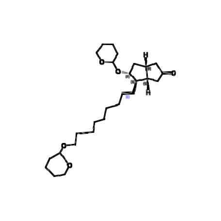 O=C1C[C@H]2C[C@@H](OC3CCCCO3)[C@H](/C=C/CCCCCCCOC3CCCCO3)[C@H]2C1